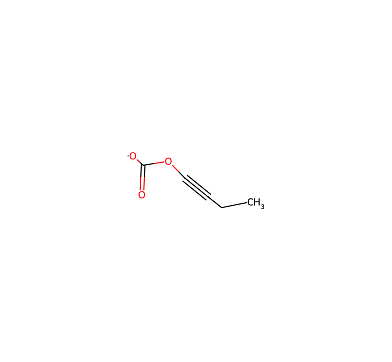 CCC#COC([O])=O